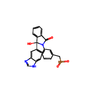 O=C1c2ccccc2C(O)(c2ccc3[nH][c]nc3c2)N1c1cccc(C[SH](=O)=O)c1